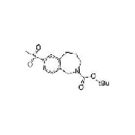 CC(C)(C)OC(=O)N1CCCc2cc(S(C)(=O)=O)ccc2C1